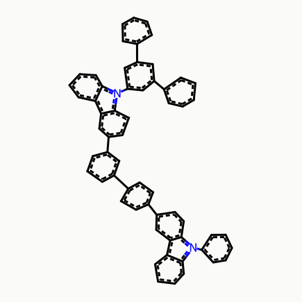 c1ccc(-c2cc(-c3ccccc3)cc(-n3c4ccccc4c4cc(-c5cccc(-c6ccc(-c7ccc8c(c7)c7ccccc7n8-c7ccccc7)cc6)c5)ccc43)c2)cc1